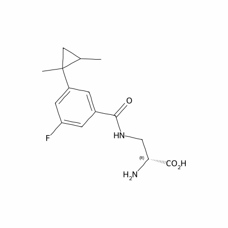 CC1CC1(C)c1cc(F)cc(C(=O)NC[C@@H](N)C(=O)O)c1